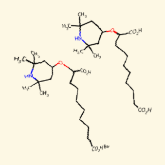 CC1(C)CC(OC(CCCCCCCC(=O)O)C(=O)O)CC(C)(C)N1.CC1(C)CC(OC(CCCCCCCC(=O)O)C(=O)O)CC(C)(C)N1.[Ba]